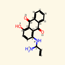 C=CC(N)Nc1ccc(O)c2c1C(=O)c1ccccc1C2=O